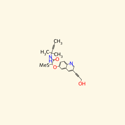 CC#CC(C)(C)NC(=O)C(Oc1ccc2ncc(C#CCO)cc2c1)SC